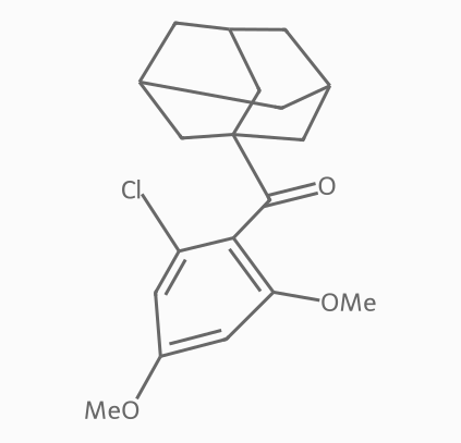 COc1cc(Cl)c(C(=O)C23CC4CC(CC(C4)C2)C3)c(OC)c1